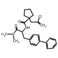 C=C(Cl)CC1(C(=O)NC(Cc2ccc(-c3ccccc3)cc2)C(=O)N(C)C)CCCC1